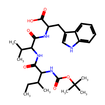 CCC(C)C(NC(=O)OC(C)(C)C)C(=O)NC(C(=O)NC(Cc1c[nH]c2ccccc12)C(=O)O)C(C)C